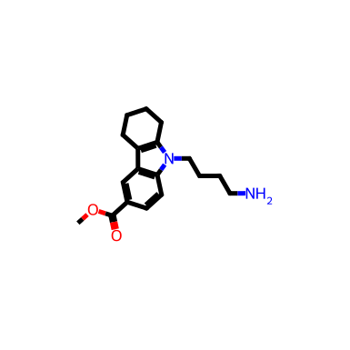 COC(=O)c1ccc2c(c1)c1c(n2CCCCN)CCCC1